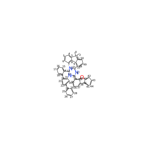 CC1(C)c2ccccc2-c2c(-c3nc(-c4ccccc4-c4ccc(-c5ccccc5)cc4)nc(-c4cccc5c4oc4ccccc45)n3)cccc21